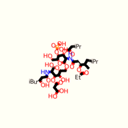 CCC(=O)O[C@@H](CC(=O)NC1C(OCC2OC(O)C(NC(=O)C[C@H](O)C(C)CC)C(OC(=O)CC(O)O)C2O)OC(CO)C(OP(=O)(O)O)C1OC(=O)CC(C)C)C(C)CC(C)C